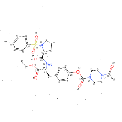 CCOC(=O)[C@H](Cc1ccc(OC(=O)N2CCN(C(C)=O)CC2)cc1)NC(=O)[C@@H]1CCCN1S(=O)(=O)c1ccc(C)cc1